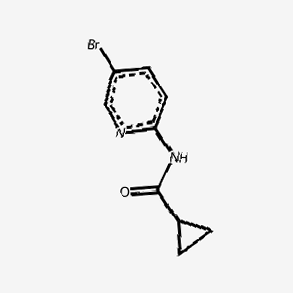 O=C(Nc1ccc(Br)cn1)C1CC1